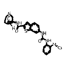 O=Nc1ccccc1NC(=O)Nc1ccc2cc(C(=O)N[C@H]3CN4CCC3CC4)sc2c1